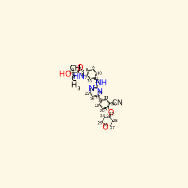 CC(C)(O)C(=O)Nc1cccc(Nc2nccc(-c3ccc(OC4CCOCC4)c(C#N)c3)n2)c1